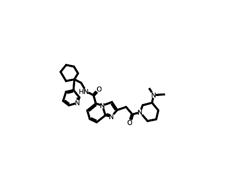 CN(C)C1CCCN(C(=O)Cc2cn3c(C(=O)NCC4(c5cccnc5)CCCCC4)cccc3n2)C1